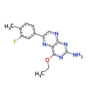 CCOc1nc(N)nc2ncc(-c3ccc(C)c(F)c3)nc12